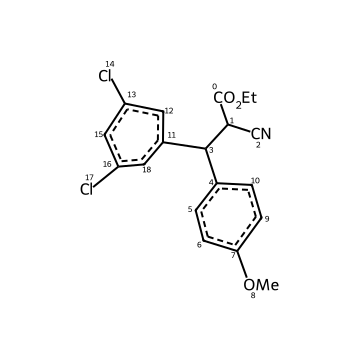 CCOC(=O)C(C#N)C(c1ccc(OC)cc1)c1cc(Cl)cc(Cl)c1